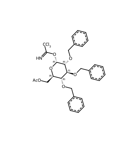 CC(=O)OC[C@H]1O[C@H](OC(=N)C(Cl)(Cl)Cl)[C@H](OCc2ccccc2)[C@@H](OCc2ccccc2)[C@@H]1OCc1ccccc1